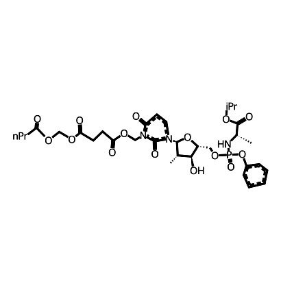 CCCC(=O)OCOC(=O)CCC(=O)OCn1c(=O)ccn([C@@H]2O[C@H](COP(=O)(N[C@@H](C)C(=O)OC(C)C)Oc3ccccc3)[C@@H](O)[C@@H]2C)c1=O